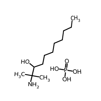 CCCCCCCCC(O)C(C)(C)N.O=P(O)(O)O